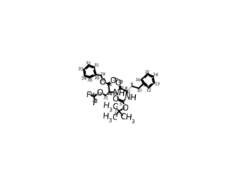 CC(C)(C)OC(=O)N[C@@H](CCc1ccccc1)C(=O)N[C@@H](COC(F)F)C(=O)OCc1ccccc1